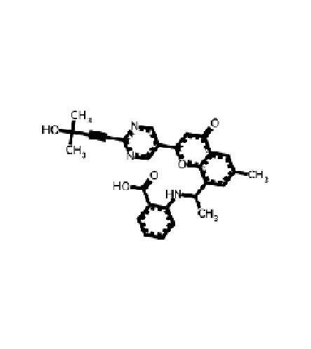 Cc1cc(C(C)Nc2ccccc2C(=O)O)c2oc(-c3cnc(C#CC(C)(C)O)nc3)cc(=O)c2c1